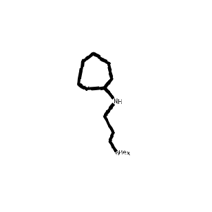 CCCCCCCCCNC1CCCCCC1